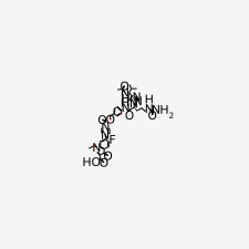 CCn1cc(C(=O)O)c(=O)c2cc(F)c(N3CCN(C(=O)OCc4ccc(NC(=O)[C@H](CCCNC(N)=O)n5cc(C(NC(C)=O)C(C)C)nn5)cc4)CC3)cc21